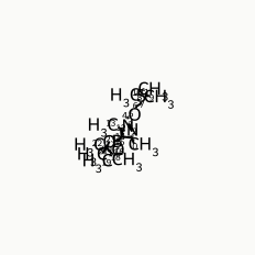 Cc1nn(COCCS(C)(C)C)c(C)c1B1OC(C)(C)C(C)(C)O1